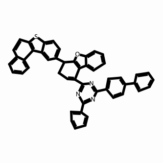 C1=C(c2nc(-c3ccccc3)nc(-c3ccc(-c4ccccc4)cc3)n2)c2c(oc3ccccc23)C(c2ccc3sc4ccc5ccccc5c4c3c2)C1